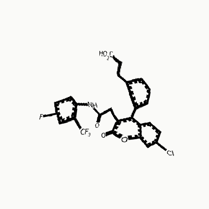 O=C(O)CCc1cccc(-c2c(CC(=O)Nc3ccc(F)cc3C(F)(F)F)c(=O)oc3cc(Cl)ccc23)c1